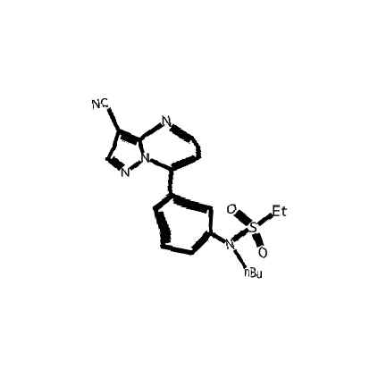 CCCCN(c1cccc(-c2ccnc3c(C#N)cnn23)c1)S(=O)(=O)CC